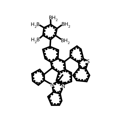 Bc1c(B)c(B)c(-c2ccc3c(-c4ccccc4-n4c(C)nc5ccccc54)c4ccccc4c(-c4cccc5sc6ccccc6c45)c3c2)c(B)c1B